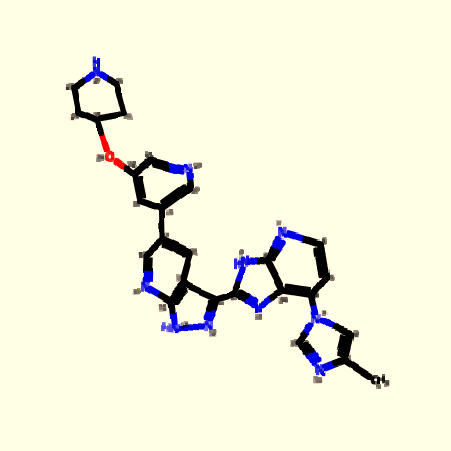 Cc1cn(-c2ccnc3[nH]c(-c4n[nH]c5ncc(-c6cncc(OC7CCNCC7)c6)cc45)nc23)cn1